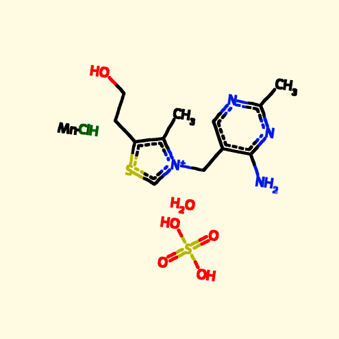 Cc1ncc(C[n+]2csc(CCO)c2C)c(N)n1.Cl.O.O=S(=O)(O)O.[Mn]